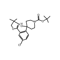 CC1(C)COC(c2cc(Cl)ccc2C2(O)CCN(C(=O)OC(C)(C)C)CC2)=N1